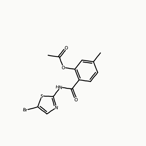 CC(=O)Oc1cc(C)ccc1C(=O)Nc1ncc(Br)s1